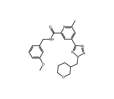 COc1cccc(CNC(=O)c2cc(-c3nnn(CC4CCCOC4)n3)cc(C)n2)c1